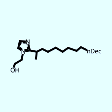 CCCCCCCCCCCCCCCCCC(C)c1nccn1CCO